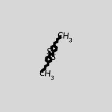 CCCCCc1ccc2c(c1)sc1c3ccc(CCCCC)cc3sc21